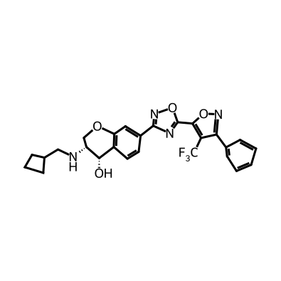 O[C@H]1c2ccc(-c3noc(-c4onc(-c5ccccc5)c4C(F)(F)F)n3)cc2OC[C@H]1NCC1CCC1